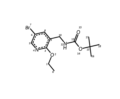 CCOc1ncc(Br)cc1CNC(=O)OC(C)(C)C